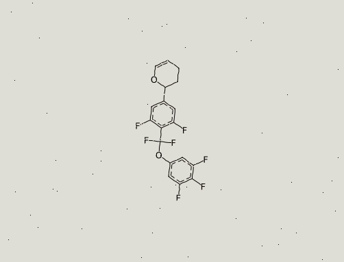 Fc1cc(OC(F)(F)c2c(F)cc(C3CCC=CO3)cc2F)cc(F)c1F